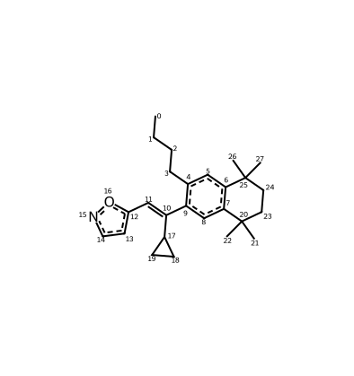 CCCCc1cc2c(cc1C(=Cc1ccno1)C1CC1)C(C)(C)CCC2(C)C